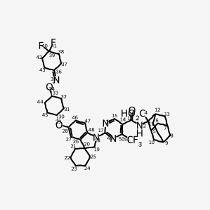 O=C(NC1(C(=O)O)C2CC3CC(C2)CC1C3)c1cnc(N2CC3(CCCCC3)c3cc(O[C@H]4CC[C@H](ON=C5CCC(F)(F)CC5)CC4)ccc32)nc1C(F)(F)F